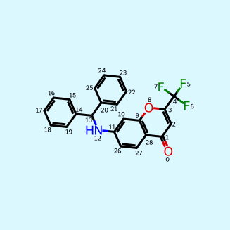 O=c1cc(C(F)(F)F)oc2cc(NC(c3ccccc3)c3ccccc3)ccc12